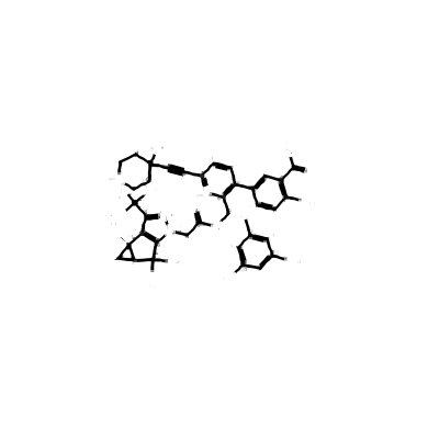 NC(=O)c1cc(-c2ccc(C#CC3(O)CCOCC3)nc2[C@H](Cc2cc(F)cc(F)c2)NC(=O)Cn2nc(C(F)(F)F)c3c2C(F)(F)C2C[C@H]32)ccc1F